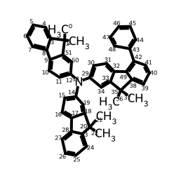 CC1(C)c2ccccc2-c2ccc(N(c3ccc4c(c3)C(C)(C)c3ccccc3-4)c3ccc4c(c3)C(C)(C)c3cccc(-c5ccccc5)c3-4)cc21